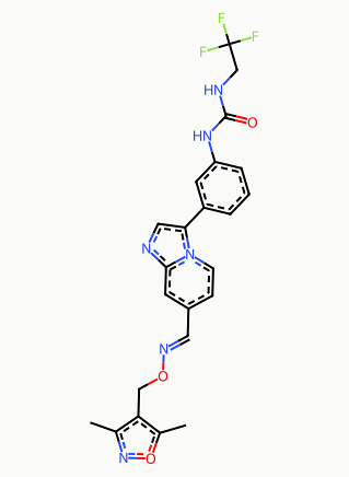 Cc1noc(C)c1CON=Cc1ccn2c(-c3cccc(NC(=O)NCC(F)(F)F)c3)cnc2c1